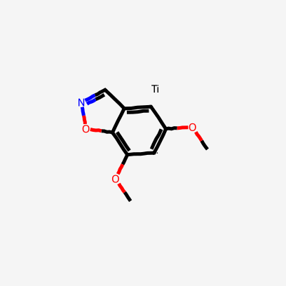 COc1[c]c(OC)c2oncc2c1.[Ti]